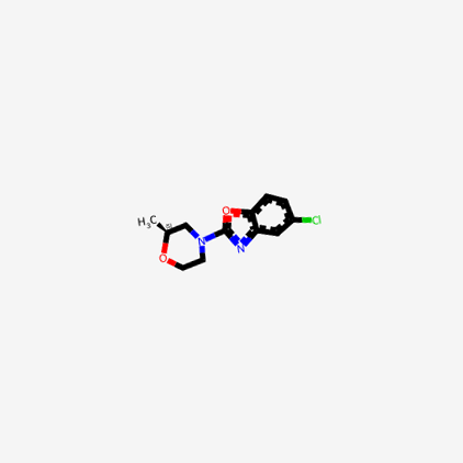 C[C@H]1CN(c2nc3cc(Cl)ccc3o2)CCO1